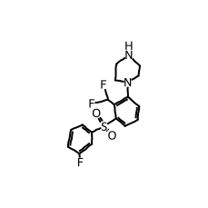 O=S(=O)(c1cccc(F)c1)c1cccc(N2CCNCC2)c1C(F)F